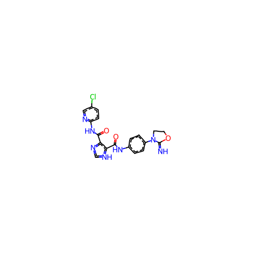 N=C1OCCN1c1ccc(NC(=O)c2[nH]cnc2C(=O)Nc2ccc(Cl)cn2)cc1